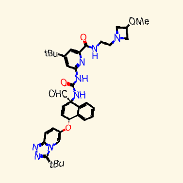 COC1CN(CCNC(=O)c2cc(C(C)(C)C)cc(NC(=O)N[C@@]3(C=O)C=C[C@@H](Oc4ccc5nnc(C(C)(C)C)n5c4)c4ccccc43)n2)C1